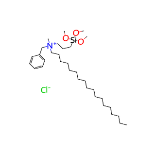 CCCCCCCCCCCCCCCCCC[N+](C)(CCC[Si](OC)(OC)OC)Cc1ccccc1.[Cl-]